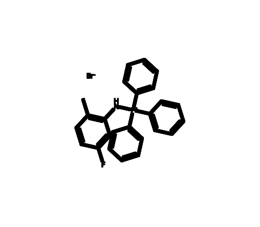 Cc1ccc(F)cc1N[P+](c1ccccc1)(c1ccccc1)c1ccccc1.[Br-]